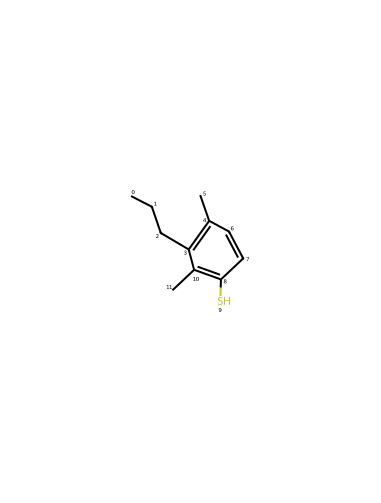 CCCc1c(C)ccc(S)c1C